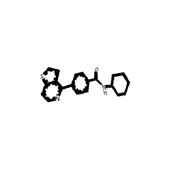 O=C(NC1CCCCC1)c1ccc(-c2nccc3sccc23)cc1